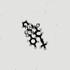 CC[C@@H](C(=O)N1CCCC1)N(C(=O)C1CCC(C)CC1)C(/C=C(\C)C#CC(C)(C)C)=C(/C)C(=O)O